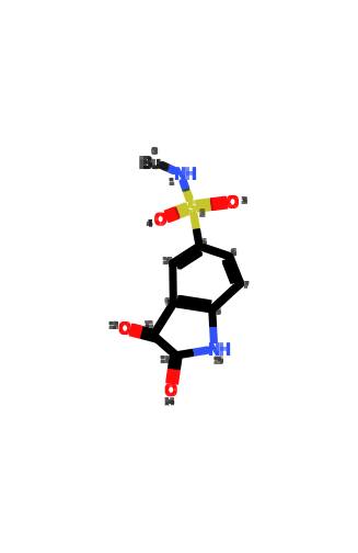 CCC(C)NS(=O)(=O)c1ccc2c(c1)C(=O)C(=O)N2